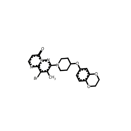 Cc1c(N2CCC(Oc3ccc4c(c3)OCCO4)CC2)nn2c(=O)ccnc2c1Br